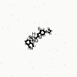 O=C(NS(=O)(=O)c1cccc2cnccc12)c1cc2c(F)cc(N3CCC3)cc2o1